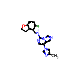 Cc1cn(-c2cnc(NCc3c(F)ccc4c3CCO4)n3cncc23)cn1